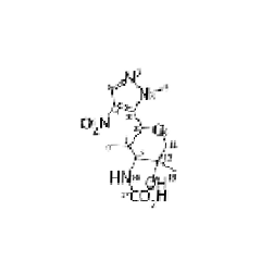 CC1C(c2c([N+](=O)[O-])cnn2C)OCC(C)(O)C1NC(=O)O